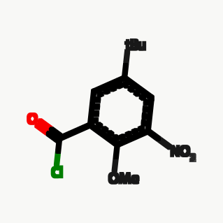 COc1c(C(=O)Cl)cc(C(C)(C)C)cc1[N+](=O)[O-]